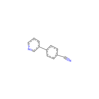 N#Cc1ccc(-c2c[c]cnc2)cc1